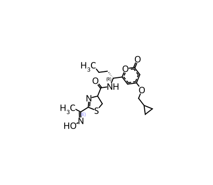 CCC[C@@H](NC(=O)C1CSC(/C(C)=N/O)=N1)c1cc(OCC2CC2)cc(=O)o1